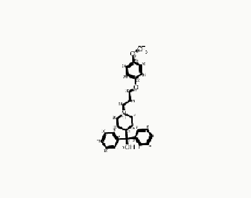 OC(c1ccccc1)(c1ccccc1)C1CCN(CCCOc2ccc(OC(F)(F)F)cc2)CC1